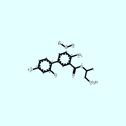 CCOC(=O)CC(C)OC(=O)c1cc(-c2ccc(C(F)(F)F)cc2Cl)ccc1[N+](=O)[O-].CCOCC